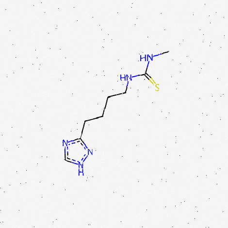 CNC(=S)NCCCCc1nc[nH]n1